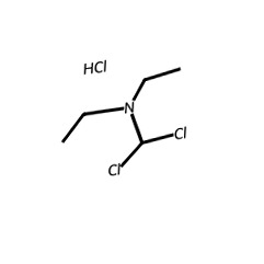 CCN(CC)C(Cl)Cl.Cl